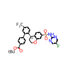 CC(C)(C)OC(=O)c1ccc(-c2cc(C(F)(F)F)ccc2[C@@H]2CCOc3cc(S(=O)(=O)Nc4ncc(F)cn4)ccc32)cc1